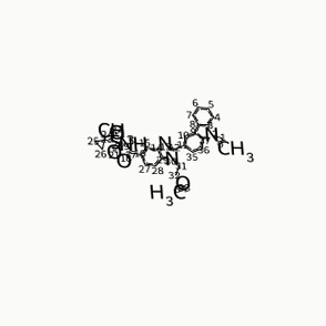 CCn1c2ccccc2c2cc(-c3nc4cc(C(=O)NS(=O)(=O)C5(C)CC5)ccc4n3CCOC)ccc21